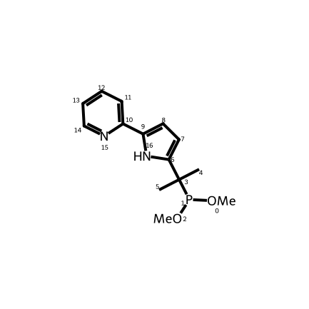 COP(OC)C(C)(C)c1ccc(-c2ccccn2)[nH]1